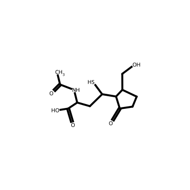 CC(=O)NC(CC(S)C1C(=O)CCC1CO)C(=O)O